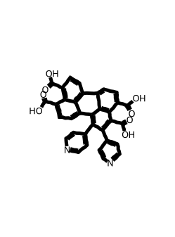 O=C(O)c1ccc2c3ccc(C(=O)O)c4c(C(=O)O)c(-c5ccncc5)c(-c5ccncc5)c(c5ccc(C(=O)O)c1c25)c43